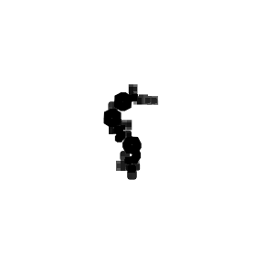 CCCCCCNc1ccc(Oc2ccc3nc(C(C)Oc4ccc(CC5SC(=O)NC5=O)cc4)[nH]c3c2)cc1